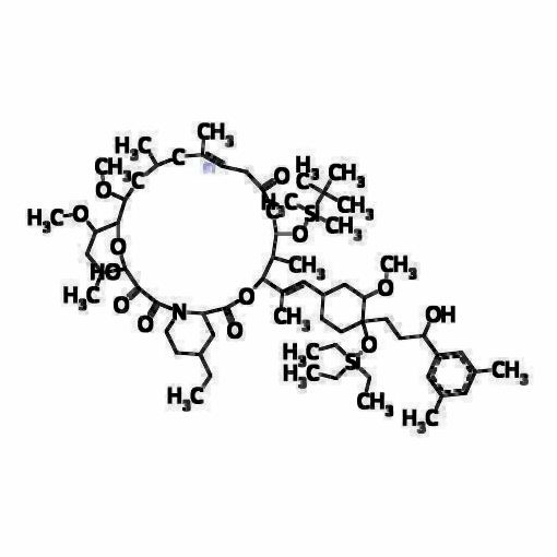 CCC1CCN2C(=O)C(=O)C3(O)OC(C(OC)CC(C)C/C(C)=C/CC(=O)CC(O[Si](C)(C)C(C)(C)C)C(C)C(C(C)=CC4CCC(CCC(O)c5cc(C)cc(C)c5)(O[Si](CC)(CC)CC)C(OC)C4)OC(=O)C2C1)C(OC)CC3C